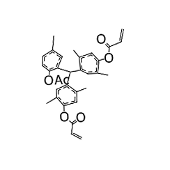 C=CC(=O)Oc1cc(C)c(C(c2cc(C)c(OC(=O)C=C)cc2C)c2cc(C)ccc2OC(C)=O)cc1C